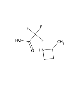 CC1CCN1.O=C(O)C(F)(F)F